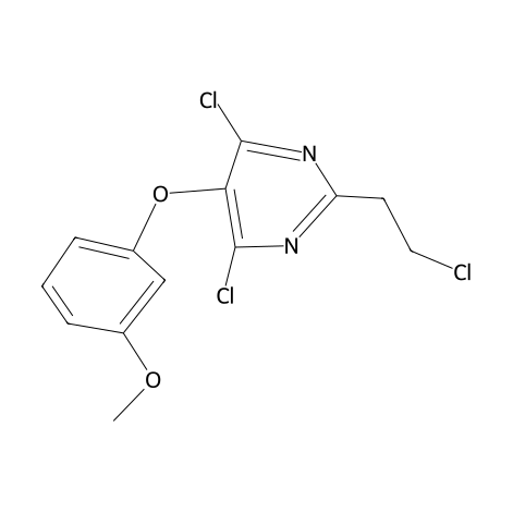 COc1cccc(Oc2c(Cl)nc(CCCl)nc2Cl)c1